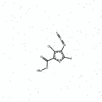 CCCCOC(=O)c1sc(F)c(N=C=S)c1Cl